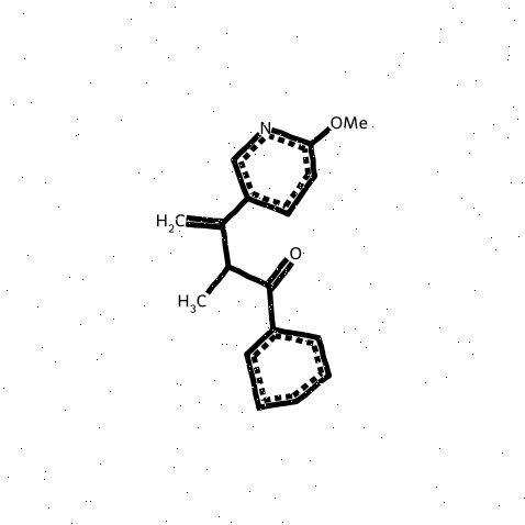 C=C(c1ccc(OC)nc1)C(C)C(=O)c1ccccc1